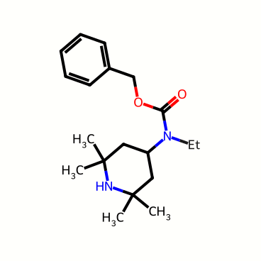 CCN(C(=O)OCc1ccccc1)C1CC(C)(C)NC(C)(C)C1